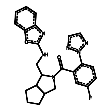 O=C(c1cc(F)ccc1-n1nccn1)N1CC2CCCC2C1CNc1nc2ccccc2o1